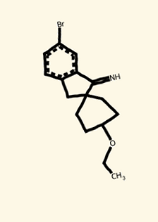 CCOC1CCC2(CC1)Cc1ccc(Br)cc1C2=N